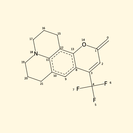 C=C1C=C(C(F)(F)F)c2cc3c4c(c2O1)CCCN4CCC3